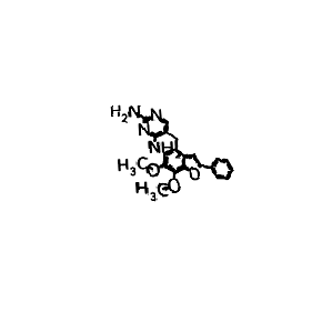 COc1cc(Cc2cnc(N)nc2N)c2cc(-c3ccccc3)oc2c1OC